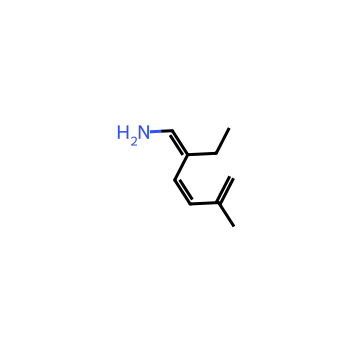 C=C(C)/C=C\C(=C/N)CC